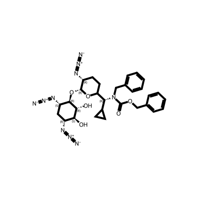 [N-]=[N+]=N[C@H]1C[C@@H](N=[N+]=[N-])[C@H](O)[C@@H](O)[C@@H]1O[C@H]1OC([C@@H](C2CC2)N(Cc2ccccc2)C(=O)OCc2ccccc2)CC[C@H]1N=[N+]=[N-]